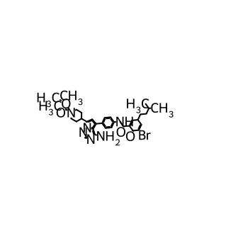 CC(C)CCC1C=C(Br)C(=O)C(C(=O)Nc2ccc(-c3cc(C4CCN(C(=O)OC(C)(C)C)CC4)n4ncnc(N)c34)cc2)=C1